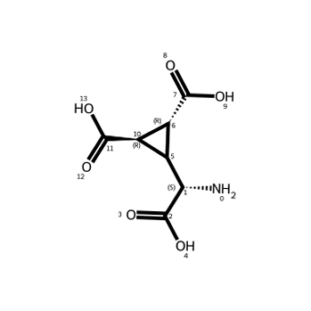 N[C@H](C(=O)O)C1[C@@H](C(=O)O)[C@@H]1C(=O)O